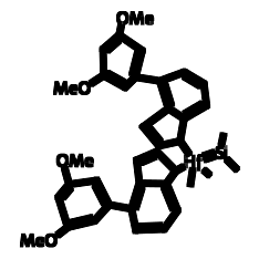 COc1cc(OC)cc(-c2cccc3c2C=C[CH]3[Hf]([CH3])([CH3])([CH]2C=Cc3c(-c4cc(OC)cc(OC)c4)cccc32)=[Si](C)C)c1